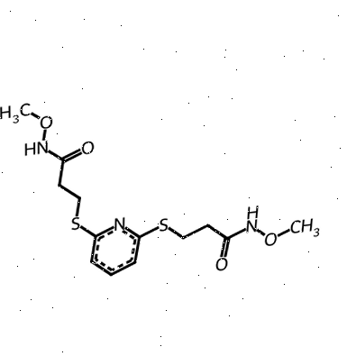 CONC(=O)CCSc1cccc(SCCC(=O)NOC)n1